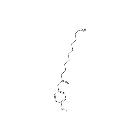 Nc1ccc(OC(=O)CCCCCCCCCC(=O)O)cc1